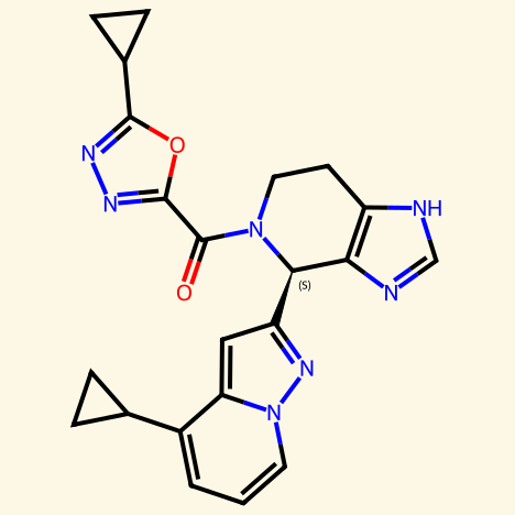 O=C(c1nnc(C2CC2)o1)N1CCc2[nH]cnc2[C@H]1c1cc2c(C3CC3)cccn2n1